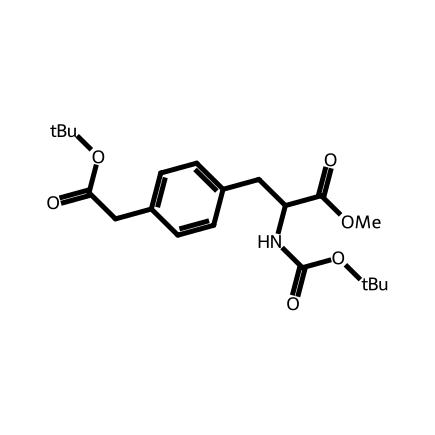 COC(=O)C(Cc1ccc(CC(=O)OC(C)(C)C)cc1)NC(=O)OC(C)(C)C